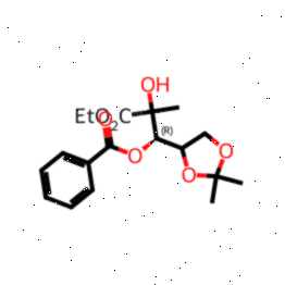 CCOC(=O)C(C)(O)[C@H](OC(=O)c1ccccc1)C1COC(C)(C)O1